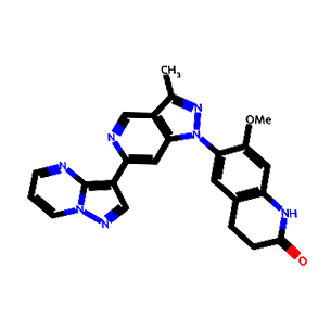 COc1cc2c(cc1-n1nc(C)c3cnc(-c4cnn5cccnc45)cc31)CCC(=O)N2